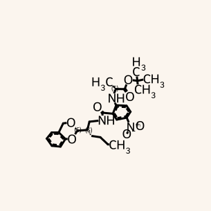 CCCC[C@@H](CNC(=O)c1cc([N+](=O)[O-])ccc1N[C@@H](C)C(=O)OC(C)(C)C)[C@H]1OCc2ccccc2O1